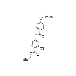 CCCCCCOc1ccc(C(=O)Oc2ccc(C(=O)OC[C@@H](C)CC)c(Cl)c2)cc1